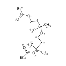 CCC(=O)OCCC(C)(C)OCCC(C)(C)OC(=O)CC